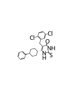 O=c1[nH]c(=S)[nH]c([C@H]2CC[C@H](c3ccccc3)CC2)c1Cc1cc(Cl)ccc1Cl